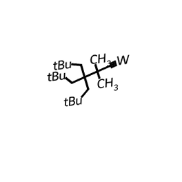 CC(C)(C)CC(CC(C)(C)C)(CC(C)(C)C)C(C)(C)[C]#[W]